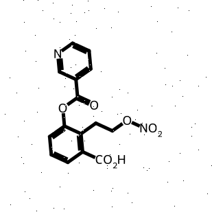 O=C(Oc1cccc(C(=O)O)c1CCO[N+](=O)[O-])c1cccnc1